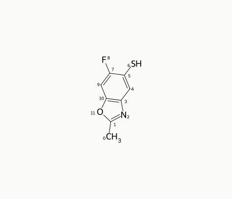 Cc1nc2cc(S)c(F)cc2o1